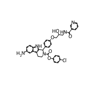 Nc1ccc2[nH]c3c(c2c1)CCN(C(=O)Oc1ccc(Cl)cc1)C3c1ccc(OCC(O)CNC(=O)c2cccnc2)cc1